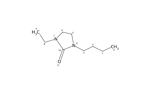 CCCCN1CCN(CC)C1=O